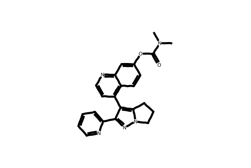 CN(C)C(=O)Oc1ccc2c(-c3c(-c4ccccn4)nn4c3CCC4)ccnc2c1